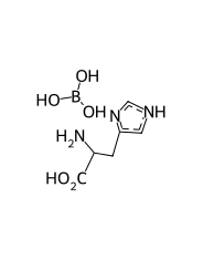 NC(Cc1c[nH]cn1)C(=O)O.OB(O)O